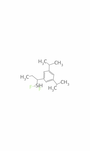 CCC(c1cc(C(C)C)cc(C(C)C)c1)[SiH](F)F